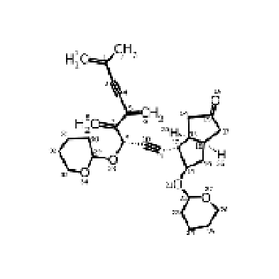 C=C(C)C#CC(=C)C(=C)[C@H](C#C[C@@H]1[C@H]2CC(=O)C[C@H]2C[C@H]1OC1CCCCO1)OC1CCCCO1